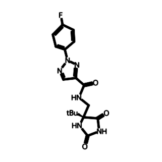 CC(C)(C)[C@]1(CNC(=O)c2cnn(-c3ccc(F)cc3)n2)NC(=O)NC1=O